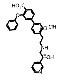 Cl.Cl.O=C(O)c1ccc(-c2ccc(CCNC[C@H](O)c3cccnc3)cc2)cc1Oc1ccccc1